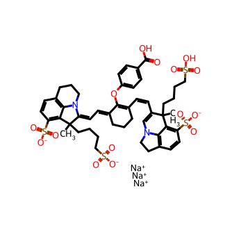 CC1(CCCCS(=O)(=O)O)C(C=CC2=C(Oc3ccc(C(=O)O)cc3)C(=CC=C3N4CCCc5ccc(S(=O)(=O)[O-])c(c54)C3(C)CCCCS(=O)(=O)[O-])CCC2)=CN2CCc3ccc(S(=O)(=O)[O-])c1c32.[Na+].[Na+].[Na+]